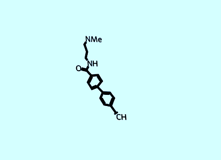 C#Cc1ccc(-c2ccc(C(=O)NCCCNC)cc2)cc1